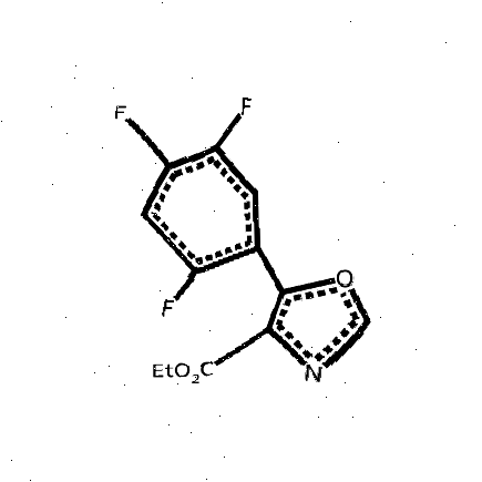 CCOC(=O)c1ncoc1-c1cc(F)c(F)cc1F